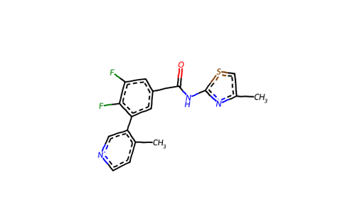 Cc1csc(NC(=O)c2cc(F)c(F)c(-c3cnccc3C)c2)n1